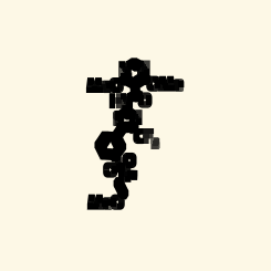 COCCN(C)S(=O)(=O)c1cccc(-c2sc(NC(=O)c3c(OC)ncnc3OC)nc2C(F)(F)F)c1